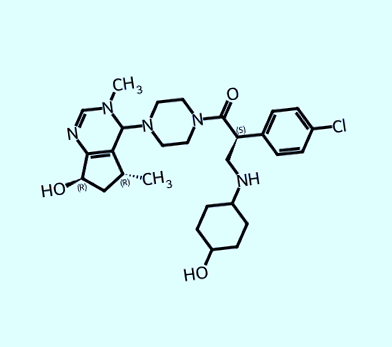 C[C@@H]1C[C@@H](O)C2=C1C(N1CCN(C(=O)[C@H](CNC3CCC(O)CC3)c3ccc(Cl)cc3)CC1)N(C)C=N2